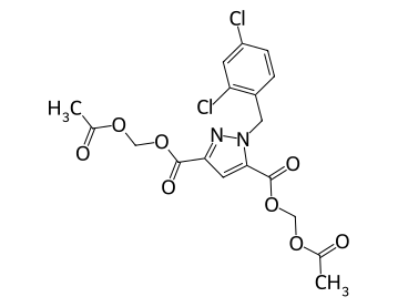 CC(=O)OCOC(=O)c1cc(C(=O)OCOC(C)=O)n(Cc2ccc(Cl)cc2Cl)n1